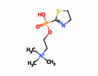 C[N+](C)(C)CCOP(=O)(O)C1=NCCS1